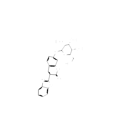 O=c1oc2cc(OC3O[C@H](CO)[C@H](O)[C@H](O)[C@H]3O)ccc2cc1-c1nc2ccccc2o1